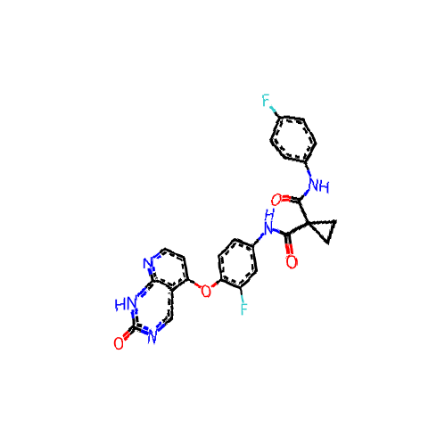 O=C(Nc1ccc(F)cc1)C1(C(=O)Nc2ccc(Oc3ccnc4[nH]c(=O)ncc34)c(F)c2)CC1